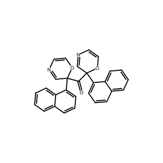 O=C(C1(c2cccc3ccccc23)C=NC=CO1)C1(c2cccc3ccccc23)C=NC=CO1